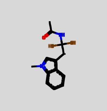 CC(=O)NC(S)(S)[CH]c1cn(C)c2ccccc12